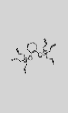 C=CC[Si](CC=C)(CC=C)OC1=C(O[Si](CC=C)(CC=C)CC=C)CCCC1